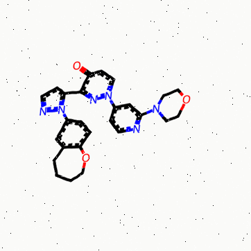 O=c1ccn(-c2ccnc(N3CCOCC3)c2)nc1-c1ccnn1-c1ccc2c(c1)CCCCO2